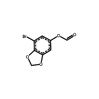 O=COc1cc(Br)c2c(c1)OCO2